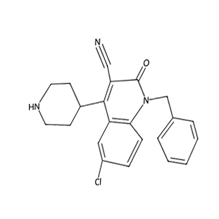 N#Cc1c(C2CCNCC2)c2cc(Cl)ccc2n(Cc2ccccc2)c1=O